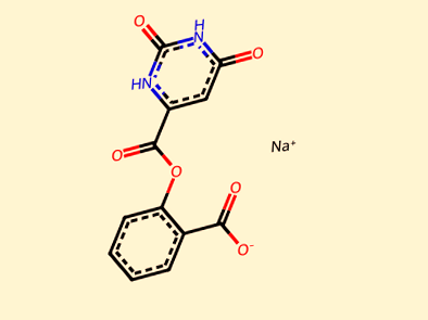 O=C(Oc1ccccc1C(=O)[O-])c1cc(=O)[nH]c(=O)[nH]1.[Na+]